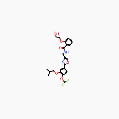 CC(C)COc1cc(-c2nc(CNC(=O)c3ccccc3OCCO)co2)ccc1OC(F)F